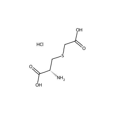 Cl.N[C@@H](CSCC(=O)O)C(=O)O